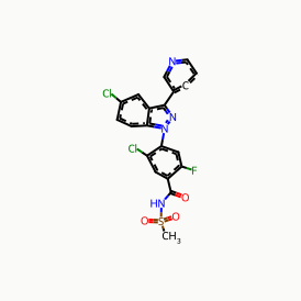 CS(=O)(=O)NC(=O)c1cc(Cl)c(-n2nc(-c3cccnc3)c3cc(Cl)ccc32)cc1F